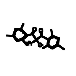 CCCC([O])(C(=O)c1c(C)cc(C)cc1C)C(=O)c1c(C)cc(C)cc1C